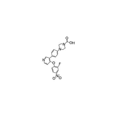 O=C(O)N1CCN(c2ccc(-c3cnccc3Oc3ccc([N+](=O)[O-])cc3F)cc2)CC1